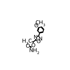 COc1cccc(-c2noc([C@H](C)OC(N)=O)n2)c1